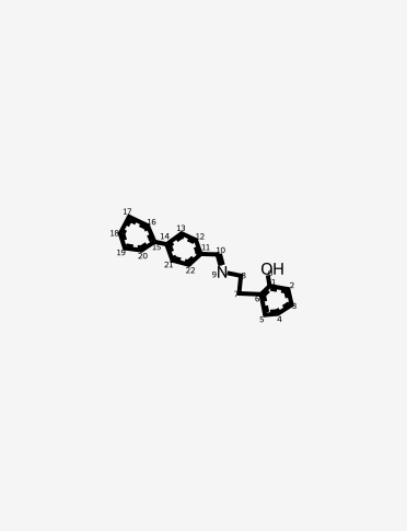 Oc1ccccc1CCN=Cc1ccc(-c2ccccc2)cc1